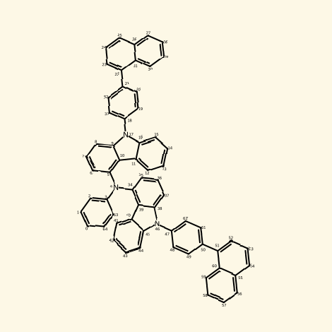 c1ccc(N(c2cccc3c2c2ccccc2n3-c2ccc(-c3cccc4ccccc34)cc2)c2cccc3c2c2ccccc2n3-c2ccc(-c3cccc4ccccc34)cc2)cc1